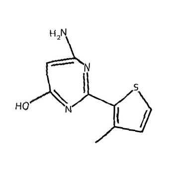 Cc1ccsc1-c1nc(N)cc(O)n1